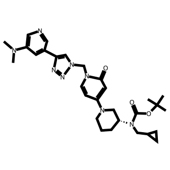 CN(C)c1cncc(-c2cn(Cn3ccc(N4CCC[C@@H](N(CC5CC5)C(=O)OC(C)(C)C)C4)cc3=O)nn2)c1